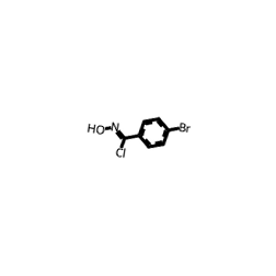 ON=C(Cl)c1ccc(Br)cc1